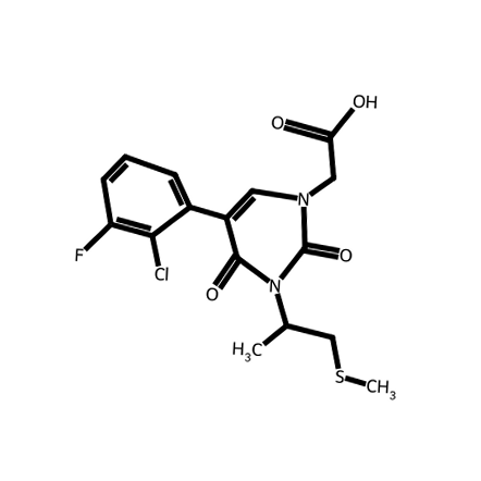 CSCC(C)n1c(=O)c(-c2cccc(F)c2Cl)cn(CC(=O)O)c1=O